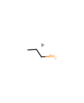 CCCP.[Ir]